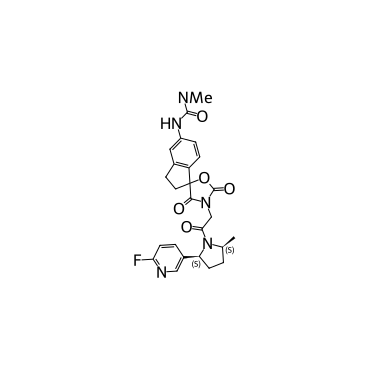 CNC(=O)Nc1ccc2c(c1)CCC21OC(=O)N(CC(=O)N2[C@@H](C)CC[C@H]2c2ccc(F)nc2)C1=O